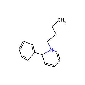 CCCCN1C=CC=CC1c1ccccc1